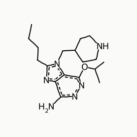 CCCCc1nc2c(N)nnc(OC(C)C)c2n1CC1CCNCC1